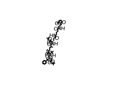 C/C(=C\CN(C)C(=O)C(NC(=O)[C@@H](N(C)C(=O)OC(C)(C)C)C(C)(C)c1ccccc1)C(C)(C)C)C(=O)N[C@H](CCC(=O)NCCCC(=O)NCCN1C(=O)C=CC1=O)C(=O)OC(C)(C)C